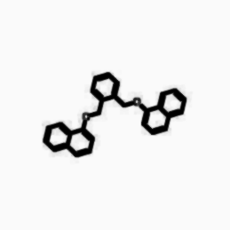 c1ccc(COc2cccc3ccccc23)c(COc2cccc3ccccc23)c1